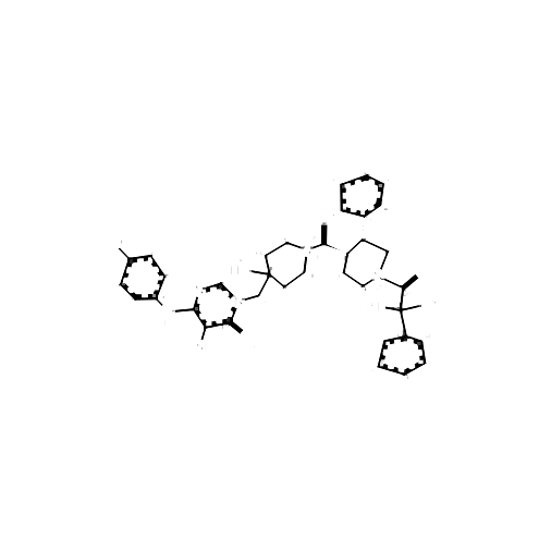 Nc1c(Oc2ccc(F)cc2)ncn(CC2(O)CCN(C(=O)[C@@H]3CCN(C(=O)C(F)(F)c4ccccc4)C[C@H]3c3ccccc3)CC2)c1=O